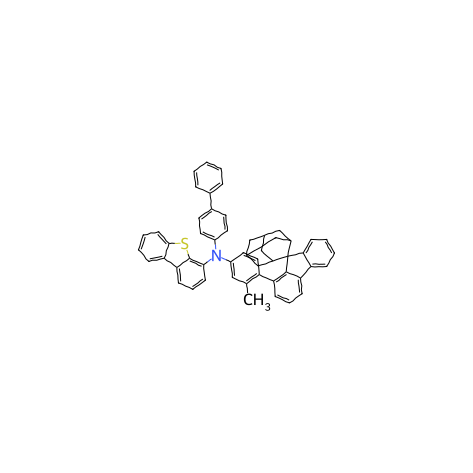 Cc1cc(N(c2ccc(-c3ccccc3)cc2)c2cccc3c2sc2ccccc23)ccc1-c1cccc2c1C1(c3ccccc3-2)C2CC3CC(C2)CC1C3